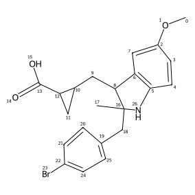 COc1ccc2c(c1)C(CC1CC1C(=O)O)C(C)(Cc1ccc(Br)cc1)N2